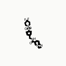 O=C(NCc1ccc(S(=O)(=O)N2CCC(F)(F)CC2)cc1)c1ccc2nccn2c1